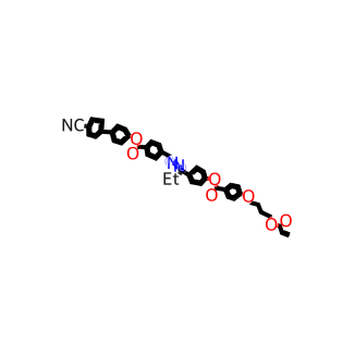 C=CC(=O)OCCCCOc1ccc(C(=O)Oc2ccc(/C(CC)=N/N=C/c3ccc(C(=O)Oc4ccc(-c5ccc(C#N)cc5)cc4)cc3)cc2)cc1